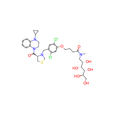 CN(C[C@H](O)[C@@H](O)[C@H](O)[C@H](O)CO)C(=O)CCCOc1cc(Cl)c(CN2CSC[C@H]2C(=O)N2CCN(C3CC3)c3ccccc32)cc1Cl